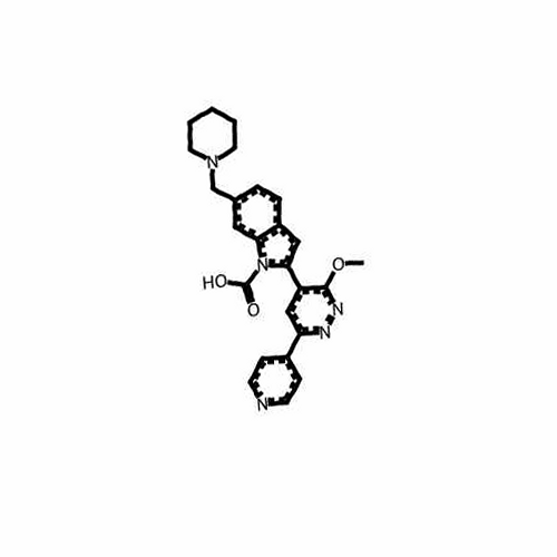 COc1nnc(-c2ccncc2)cc1-c1cc2ccc(CN3CCCCC3)cc2n1C(=O)O